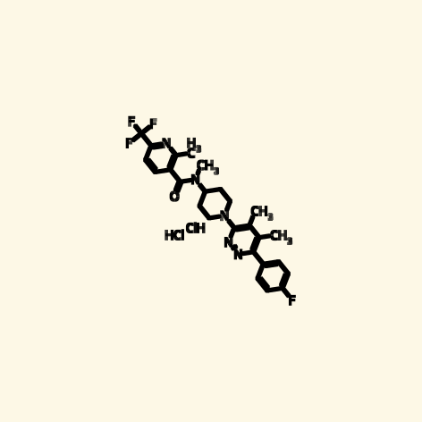 Cc1nc(C(F)(F)F)ccc1C(=O)N(C)C1CCN(c2nnc(-c3ccc(F)cc3)c(C)c2C)CC1.Cl.Cl